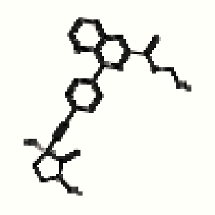 CCOC(=O)c1cc2cccnc2c(-c2ccc(C#C[C@]3(O)CCN(C)C3=O)cc2)n1